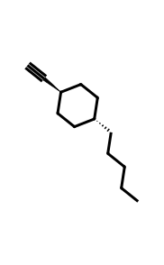 C#C[C@H]1CC[C@H](CCCCC)CC1